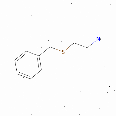 [N]CCSCc1ccccc1